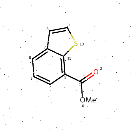 COC(=O)c1cccc2ccsc12